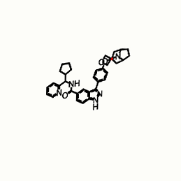 O=C(NC(c1ccccn1)C1CCCC1)c1ccc2[nH]nc(-c3ccc(OC4CC5CCC(C4)N5C4COC4)cc3)c2c1